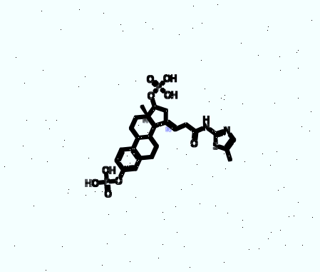 Cc1cnc(NC(=O)C/C=C2\CC(OP(=O)(O)O)[C@@]3(C)CCC4c5ccc(OP(=O)(O)O)cc5CCC4C23)s1